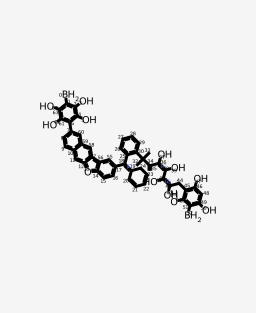 Bc1c(O)c(O)c(-c2ccc3cc4oc5ccc(/C(=C6\C=CC=CC6)c6ccccc6C(C)(C)C(=C)/C(O)=C(O)\C(O)=C(\O)Cc6c(O)cc(O)c(B)c6O)cc5c4cc3c2)c(O)c1O